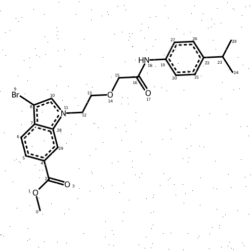 COC(=O)c1ccc2c(Br)cn(CCOCC(=O)Nc3ccc(C(C)C)cc3)c2c1